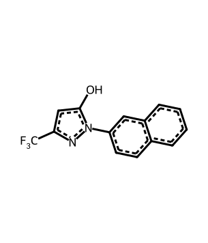 Oc1cc(C(F)(F)F)nn1-c1ccc2ccccc2c1